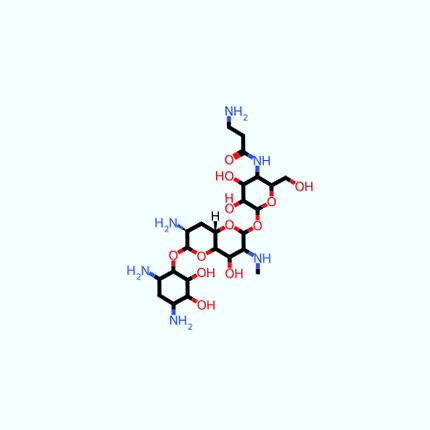 CNC1C(OC2OC(CO)C(NC(=O)CCN)C(O)C2O)O[C@H]2C[C@H](N)C(OC3C(N)CC(N)C(O)C3O)OC2C1O